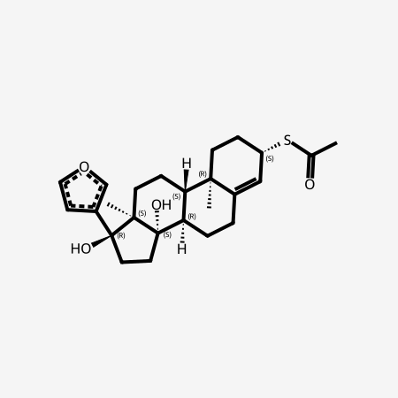 CC(=O)S[C@@H]1C=C2CC[C@@H]3[C@H](CC[C@]4(C)[C@@](O)(c5ccoc5)CC[C@]34O)[C@@]2(C)CC1